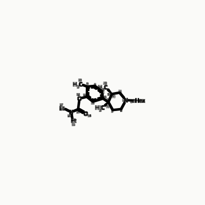 CCCCCCN1CC[C@](C)(c2ccc(C)c(OC(=O)N(CC)CC)c2)[C@@H](C)C1